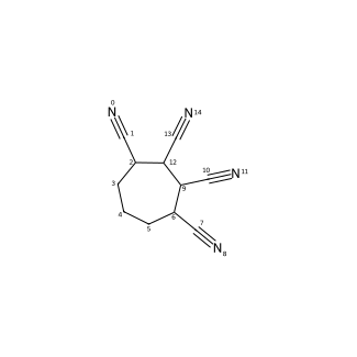 N#CC1CCCC(C#N)C(C#N)C1C#N